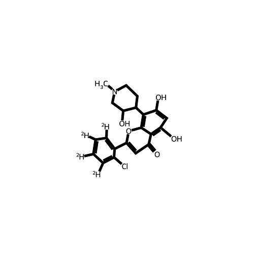 [2H]c1c([2H])c([2H])c(-c2cc(=O)c3c(O)cc(O)c(C4CCN(C)CC4O)c3o2)c(Cl)c1[2H]